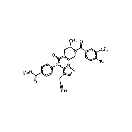 C#CCc1cnn2c3c(c(=O)n(-c4ccc(C(=O)NC)cc4)c12)C[C@@H](C)N(C(=O)c1ccc(Br)c(C(F)(F)F)c1)C3